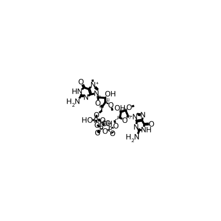 CO[C@@H]1[C@H](O)[C@@H](COP(=O)(O)OP(=O)(O)OP(=O)(O)OC[C@H]2O[C@@H](n3c[n+](C)c4c(=O)[nH]c(N)nc43)[C@@H](O)[C@H]2OC)O[C@H]1n1cnc2c(=O)[nH]c(N)nc21